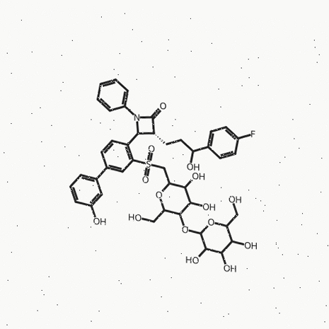 O=C1[C@H](CCC(O)c2ccc(F)cc2)C(c2ccc(-c3cccc(O)c3)cc2S(=O)(=O)CC2OC(CO)C(OC3OC(CO)C(O)C(O)C3O)C(O)C2O)N1c1ccccc1